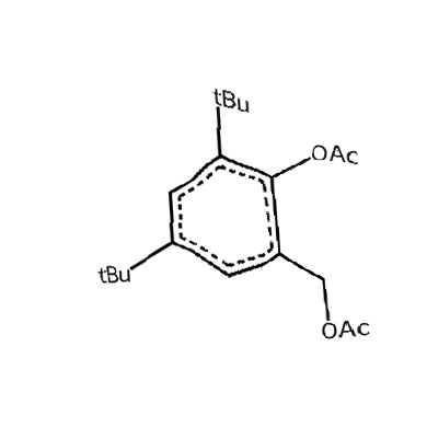 CC(=O)OCc1cc(C(C)(C)C)cc(C(C)(C)C)c1OC(C)=O